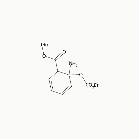 CCOC(=O)OC1(N)C=CC=CC1C(=O)OC(C)(C)C